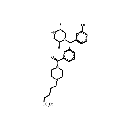 CCOC(=O)CCCCN1CCN(C(=O)c2cccc([C@H](c3cccc(O)c3)N3C[C@@H](C)NC[C@@H]3C)c2)CC1